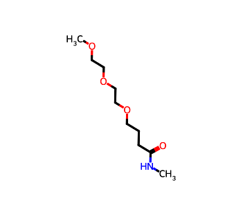 CNC(=O)CCCOCCOCCOC